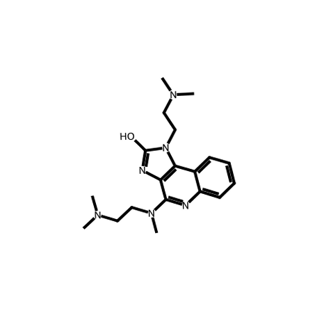 CN(C)CCN(C)c1nc2ccccc2c2c1nc(O)n2CCN(C)C